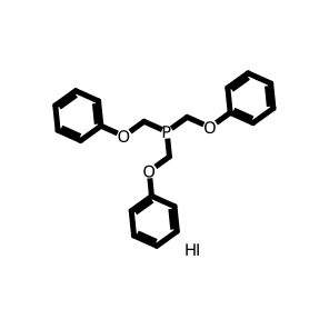 I.c1ccc(OCP(COc2ccccc2)COc2ccccc2)cc1